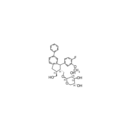 COc1cc(C2c3cc(-c4ccccc4)ccc3C[C@H](CO)[C@H]2CO[C@@H]2OC[C@@H](O)[C@H](O)[C@H]2O)ccc1F